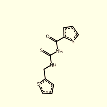 O=C(NC(=S)NCc1cccs1)c1cccs1